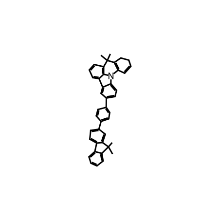 CC1(C)C2=C(C=CCC2)n2c3ccc(-c4ccc(-c5ccc6c(c5)C(C)(C)c5ccccc5-6)cc4)cc3c3cccc1c32